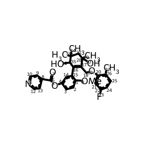 COc1ccc(OC(=O)c2ccncc2)cc1C1=C(COc2cc(F)ccc2C)C(C)(O)CC(C)(C)C1O